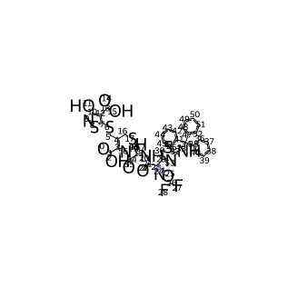 O=C(O)C1=C(CSc2snc(O)c2C(=O)O)CS[C@@H]2C(NC(=O)/C(=N/OC(F)F)c3csc(NC(c4ccccc4)(c4ccccc4)c4ccccc4)n3)C(=O)N12